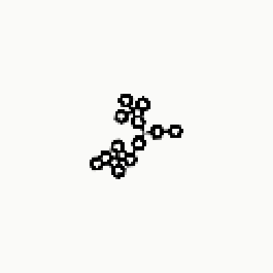 c1ccc(-c2ccc(N(c3ccc(-c4cccc5c4-c4ccccc4C54c5ccccc5-c5c4ccc4ccccc54)cc3)c3ccc4c(c3)-c3ccccc3C4(c3ccccc3)c3ccccc3)cc2)cc1